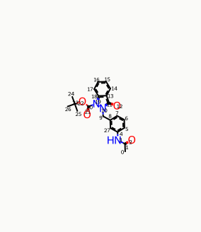 CC(=O)Nc1cccc(Cn2c(=O)c3ccccc3n2C(=O)OC(C)(C)C)c1